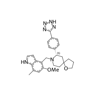 COc1cc(C)c2[nH]ccc2c1CN1CCC2(CCCO2)C[C@H]1c1ccc(-c2nn[nH]n2)cc1